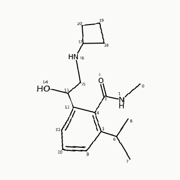 CNC(=O)c1c(C(C)C)cccc1C(O)CNC1CCC1